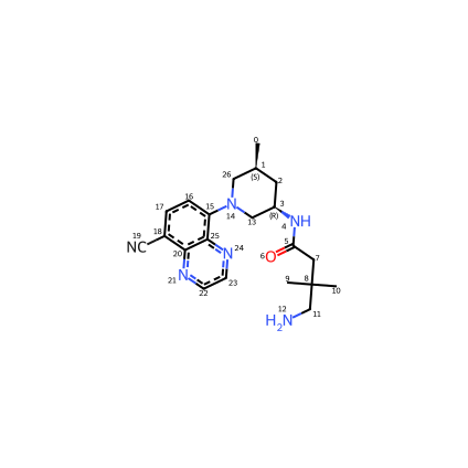 C[C@H]1C[C@@H](NC(=O)CC(C)(C)CN)CN(c2ccc(C#N)c3nccnc23)C1